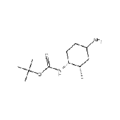 CC(C)(C)OC(=O)N[C@@H]1CCC(N)C[C@@H]1F